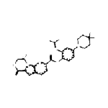 C[C@@H]1CNC(=O)c2cc3ccc(C(=O)Nc4ccc(N5CCC(F)(F)CC5)cc4OC(F)F)nc3n21